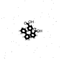 O=C(O)c1ccc(-c2ccccc2C(=O)O)cc1.c1ccc(-c2ccccc2)cc1